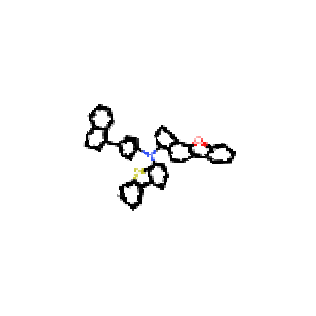 c1ccc2c(-c3ccc(N(c4cccc5c4ccc4c6ccccc6oc54)c4cccc5c4sc4ccccc45)cc3)cccc2c1